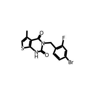 Cc1csc2[nH]c(=O)n(Cc3ccc(Br)cc3F)c(=O)c12